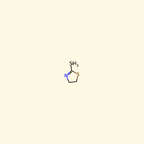 [SiH3]C1=NCCS1